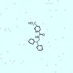 O=C(O)c1ccc(C(=O)NCC(c2ccccc2)c2ccccc2)nc1